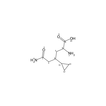 NC(=O)CC(CC(N)C(=O)O)C1CC1